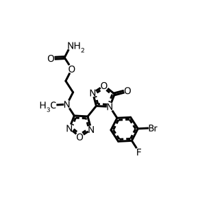 CN(CCOC(N)=O)c1nonc1-c1noc(=O)n1-c1ccc(F)c(Br)c1